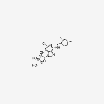 Cc1ccc(CNc2nc(Cl)nc3c2ncn3C2O[C@H](CO)[C@@H](O)[C@H]2O)c(C)c1